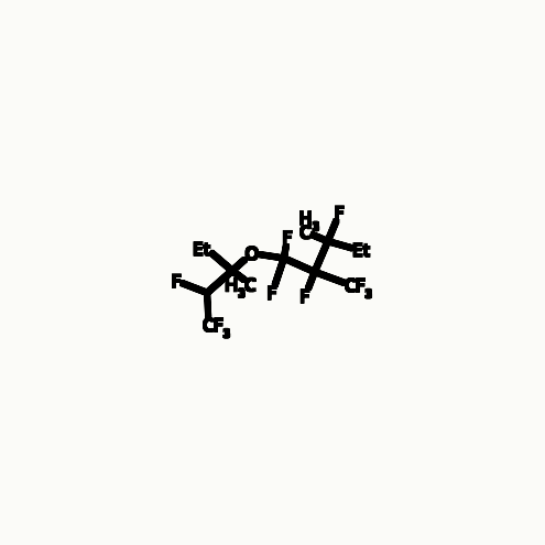 CCC(C)(OC(F)(F)C(F)(C(F)(F)F)C(C)(F)CC)C(F)C(F)(F)F